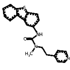 CN(CCc1ccncc1)C(=O)Nc1ccc2sc3ccccc3c2c1